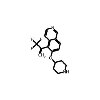 C=C(c1c(OC2CCNCC2)ccc2cnccc12)C(F)(F)F